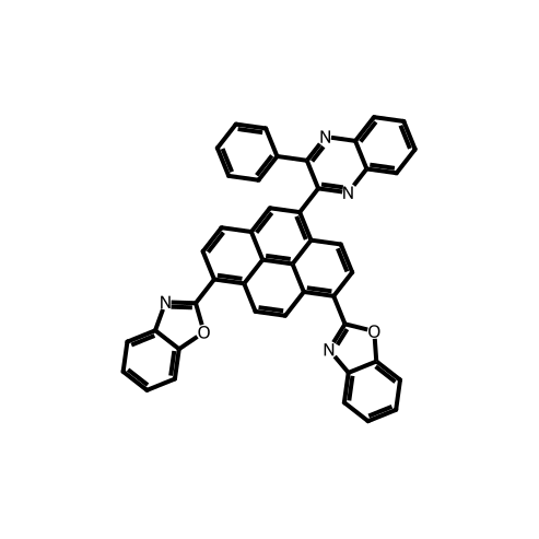 c1ccc(-c2nc3ccccc3nc2-c2cc3ccc(-c4nc5ccccc5o4)c4ccc5c(-c6nc7ccccc7o6)ccc2c5c34)cc1